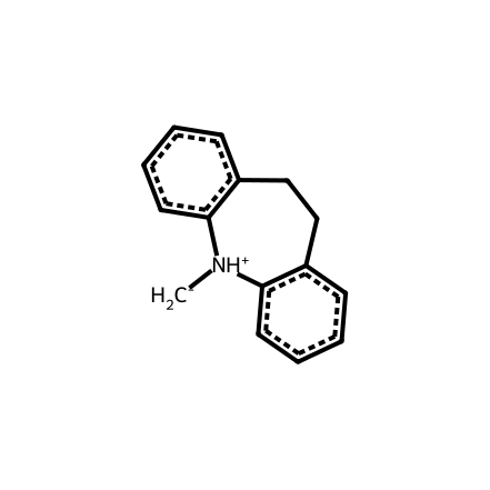 [CH2-][NH+]1c2ccccc2CCc2ccccc21